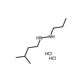 CCCNNCCC(C)C.Cl.Cl